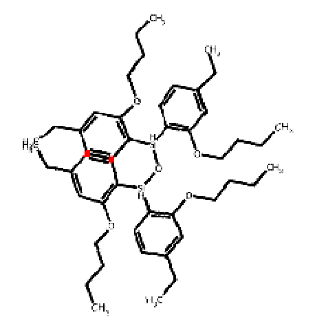 CCCCOc1cc(CC)ccc1[SiH](O[SiH](c1ccc(CC)cc1OCCCC)c1ccc(CC)cc1OCCCC)c1ccc(CC)cc1OCCCC